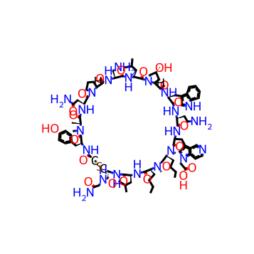 CCCC[C@H]1C(=O)N(C)[C@@H](CCCC)C(=O)N[C@@H](CC(C)C)C(=O)N[C@H](C(=O)NCC(N)=O)CSCC(=O)N[C@@H](Cc2ccc(O)cc2)C(=O)N(C)[C@@H](C)C(=O)N[C@@H](CC(N)=O)C(=O)N2CCC[C@H]2C(=O)N[C@@H](CN)C(=O)N[C@@H](CC(C)C)C(=O)N2C[C@H](O)C[C@H]2C(=O)N[C@@H](Cc2c[nH]c3ccccc23)C(=O)N[C@@H](CCN)C(=O)NC(Cc2cn(CC(=O)O)c3ccncc23)C(=O)N1C